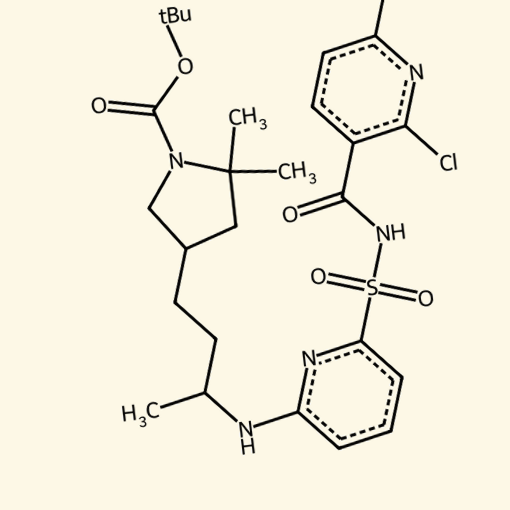 CC(CCC1CN(C(=O)OC(C)(C)C)C(C)(C)C1)Nc1cccc(S(=O)(=O)NC(=O)c2ccc(Cl)nc2Cl)n1